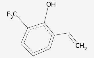 C=Cc1cccc(C(F)(F)F)c1O